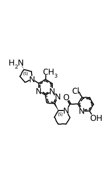 Cc1cn2nc([C@@H]3CCCCN3C(=O)c3nc(O)ccc3Cl)cc2nc1N1CC[C@H](N)C1